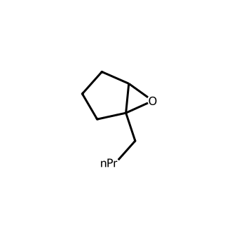 CCCCC12CCCC1O2